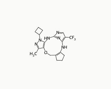 Cc1nn(C2CCC2)c2c1OCC1=C(CCC1)Nc1nc(ncc1C(F)(F)F)N2